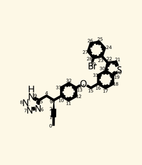 CC#C[C@@H](Cc1nnn[nH]1)c1ccc(OCc2ccc3scc(-c4ccccc4Br)c3c2)cc1